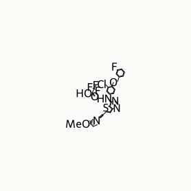 CO[C@@H]1CCN(C#Cc2cc3ncnc(Nc4ccc(OCc5cccc(F)c5)c(Cl)c4)c3s2)C1.O=C(O)C(F)(F)F